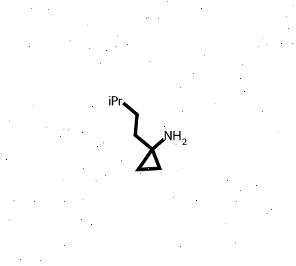 CC(C)CCC1(N)CC1